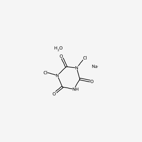 O.O=c1[nH]c(=O)n(Cl)c(=O)n1Cl.[Na]